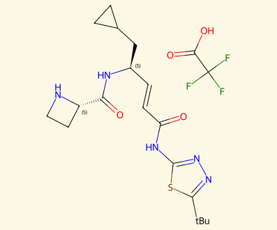 CC(C)(C)c1nnc(NC(=O)C=C[C@H](CC2CC2)NC(=O)[C@@H]2CCN2)s1.O=C(O)C(F)(F)F